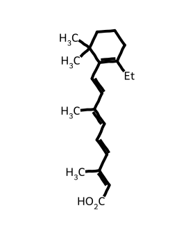 CCC1=C(/C=C/C(C)=C/C=C/C(C)=C/C(=O)O)C(C)(C)CCC1